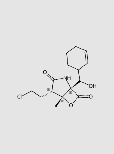 C[C@]12OC(=O)[C@@]1(C(O)C1C=CCCC1)NC(=O)[C@H]2CCCl